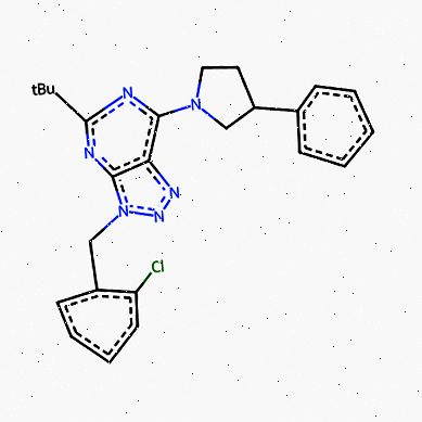 CC(C)(C)c1nc(N2CCC(c3ccccc3)C2)c2nnn(Cc3ccccc3Cl)c2n1